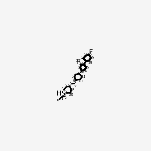 CCC[Si@H]1CC[C@H](CC[C@H]2CC[C@H](c3ccc(-c4ccc(F)cc4)c(F)c3)CC2)CC1